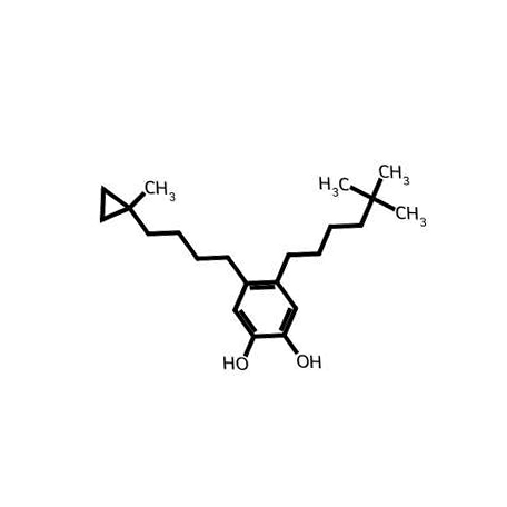 CC(C)(C)CCCCc1cc(O)c(O)cc1CCCCC1(C)CC1